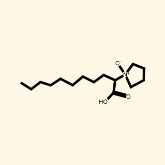 CCCCCCCCCC(C(=O)O)[N+]1([O-])CCCC1